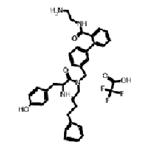 NCCNC(=O)c1ccccc1-c1cccc(CN(CCCCc2ccccc2)C(=O)C(N)Cc2ccc(O)cc2)c1.O=C(O)C(F)(F)F